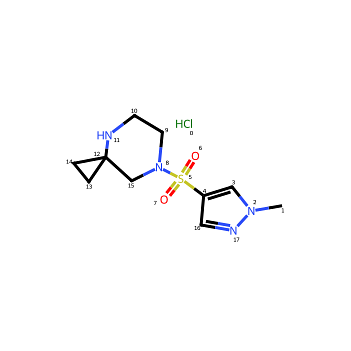 Cl.Cn1cc(S(=O)(=O)N2CCNC3(CC3)C2)cn1